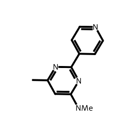 CNc1cc(C)nc(-c2ccncc2)n1